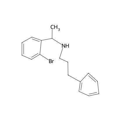 CC(NCCCc1ccccc1)c1ccccc1Br